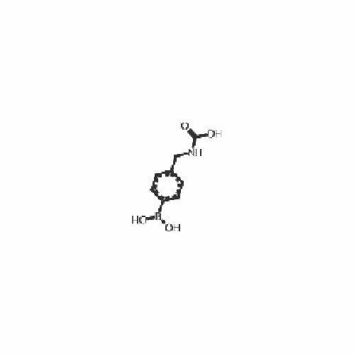 O=C(O)NCc1ccc(B(O)O)cc1